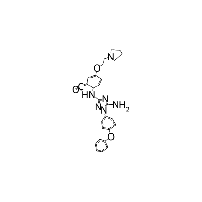 Nc1nc(NC2C=CC(OCCN3CCCC3)=CC2=C=O)nn1-c1ccc(Oc2ccccc2)cc1